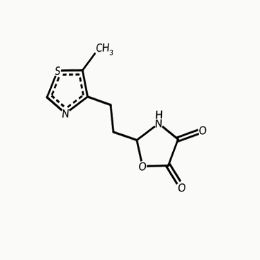 Cc1scnc1CCC1NC(=O)C(=O)O1